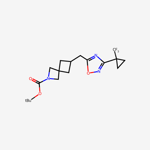 CC(C)(C)OC(=O)N1CC2(CC(Cc3nc(C4(C(F)(F)F)CC4)no3)C2)C1